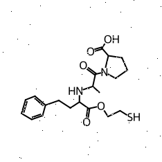 CC(NC(CCc1ccccc1)C(=O)OCCS)C(=O)N1CCCC1C(=O)O